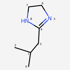 CC(C)[CH]C1=NCCN1